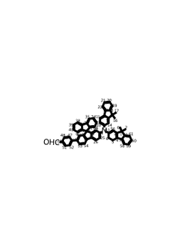 CC1(C)C2=C(CCC(N(c3ccc4c(c3)C(C)(C)c3ccccc3-4)c3ccc4c(c3)C3(c5ccccc5-c5ccccc53)c3cc(-c5ccc(C=O)cc5)ccc3-4)=C2)c2ccccc21